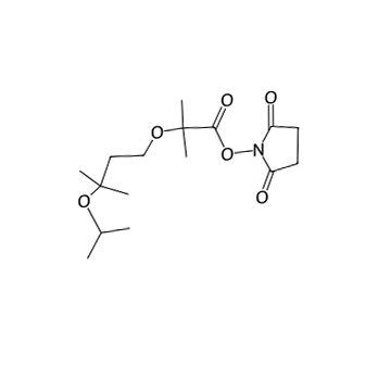 CC(C)OC(C)(C)CCOC(C)(C)C(=O)ON1C(=O)CCC1=O